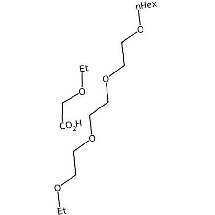 CCCCCCOCCOCCOCCOCC.CCOCC(=O)O